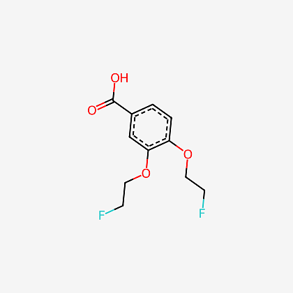 O=C(O)c1ccc(OCCF)c(OCCF)c1